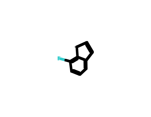 Fc1cccc2c1[CH]C=C2